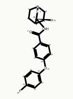 O=C(N[C@H]1CN2CCC1CC2)c1ccc(Oc2ccc(F)cc2)cc1